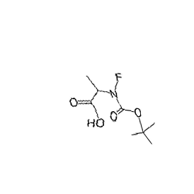 CC(C(=O)O)N(F)C(=O)OC(C)(C)C